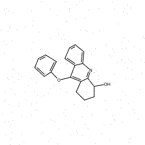 OC1CCCc2c1nc1ccccc1c2Oc1ccccc1